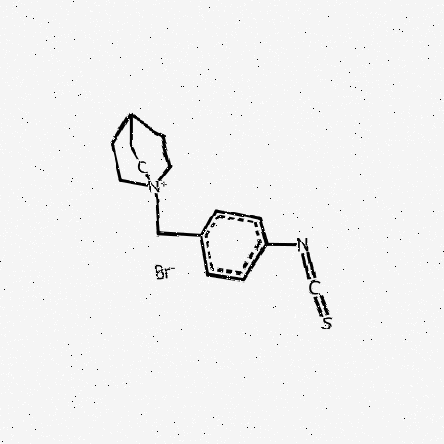 S=C=Nc1ccc(C[N+]23CCC(CC2)CC3)cc1.[Br-]